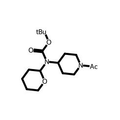 CC(=O)N1CCC(N(C(=O)OC(C)(C)C)C2CCCCO2)CC1